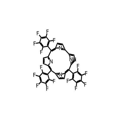 Fc1c(F)c(F)c(C2=C3C=CC(=N3)C(c3c(F)c(F)c(F)c(F)c3F)=C3C=CC(=N3)c3ccc([nH]3)C(c3c(F)c(F)c(F)c(F)c3F)=C3C=CC2=N3)c(F)c1F